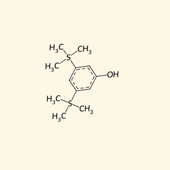 CS(C)(C)c1cc(O)cc(S(C)(C)C)c1